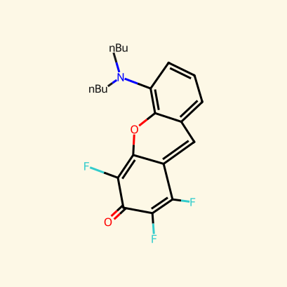 CCCCN(CCCC)c1cccc2cc3c(F)c(F)c(=O)c(F)c-3oc12